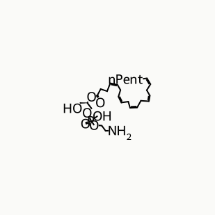 CCCCC/C=C\C/C=C\C/C=C\C/C=C\C/C=C\CCC(=O)O[C@H](CO)COP(=O)(O)OCCN